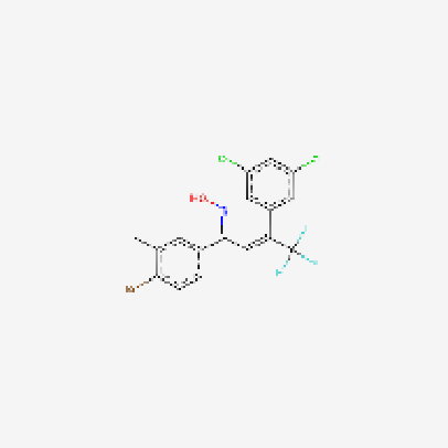 Cc1cc(C(/C=C(\c2cc(Cl)cc(Cl)c2)C(F)(F)F)=NO)ccc1Br